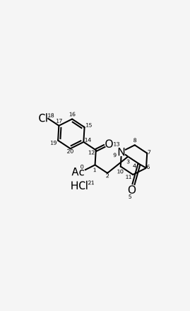 CC(=O)C(CC1C(=O)C2CCN1CC2)C(=O)c1ccc(Cl)cc1.Cl